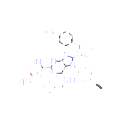 C#CC1CCC(n2c(N3CCOCC3c3ccc(Cl)cc3)nc3nc(C(=N)NC(=O)O)nc(N[C@H](C)C4CCC4)c32)CC1